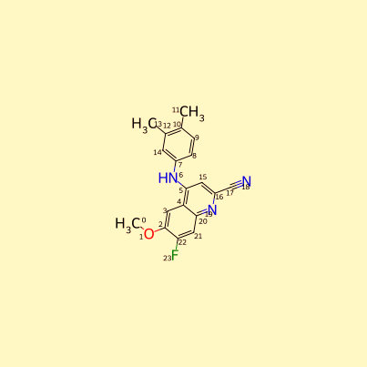 COc1cc2c(Nc3ccc(C)c(C)c3)cc(C#N)nc2cc1F